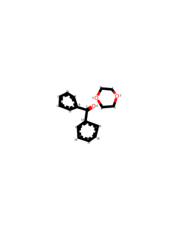 C1COCCO1.O=C(c1ccccc1)c1ccccc1